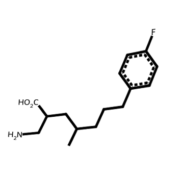 CC(CCCc1ccc(F)cc1)CC(CN)C(=O)O